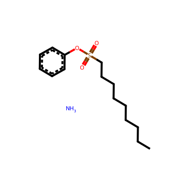 CCCCCCCCCS(=O)(=O)Oc1ccccc1.N